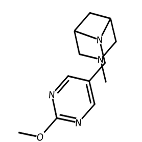 COc1ncc(CN2C3CC2CN(C)C3)cn1